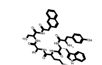 CC(C)C(NC(=O)C(CCCCN)NC(=O)[C@@H](Cc1c[nH]c2ccccc12)NC(=O)C(N)Cc1ccc(O)cc1)C(=O)NC(CS)C(=O)NC(=O)Cc1ccc2ccccc2c1